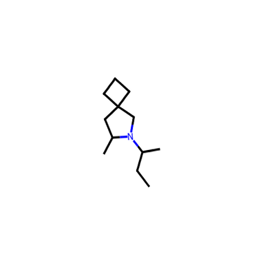 CCC(C)N1CC2(CCC2)CC1C